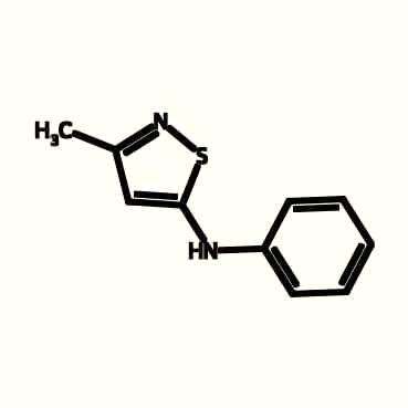 Cc1cc(Nc2ccccc2)sn1